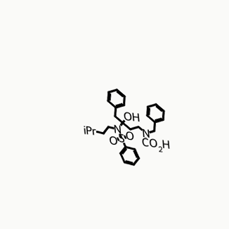 CC(C)CCN(C(O)(CCN(Cc1ccccc1)C(=O)O)Cc1ccccc1)S(=O)(=O)c1ccccc1